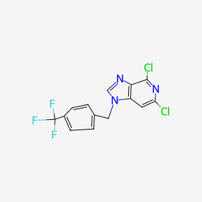 FC(F)(F)c1ccc(Cn2cnc3c(Cl)nc(Cl)cc32)cc1